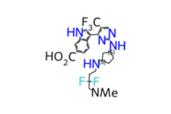 CNCC(F)(F)CCN[C@H]1CC[C@H](Nc2ncc(C(F)(F)F)c(-c3c[nH]c4cc(C(=O)O)ccc34)n2)C1